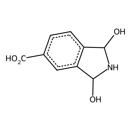 O=C(O)c1ccc2c(c1)C(O)NC2O